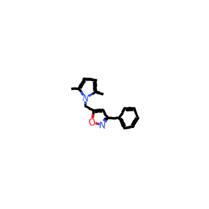 Cc1ccc(C)n1Cc1cc(-c2ccccc2)no1